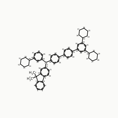 CC1(C)c2ccccc2-c2ccc(N(c3ccc(-c4ccc(-c5cc(C6CCCCC6)cc(C6CCCCC6)c5)cc4)cc3)c3cccc(C4CCCCC4)c3)cc21